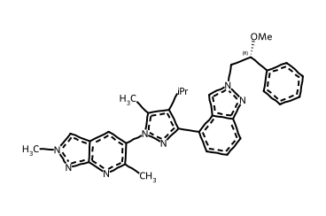 CO[C@@H](Cn1cc2c(-c3nn(-c4cc5cn(C)nc5nc4C)c(C)c3C(C)C)cccc2n1)c1ccccc1